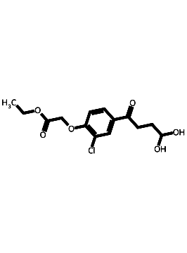 CCOC(=O)COc1ccc(C(=O)CCC(O)O)cc1Cl